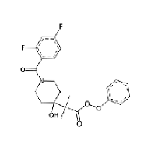 CC(C)(C(=O)OOc1ccccc1)C1(O)CCN(C(=O)c2ccc(F)cc2F)CC1